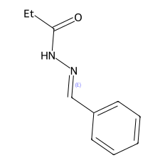 CCC(=O)N/N=C/c1ccccc1